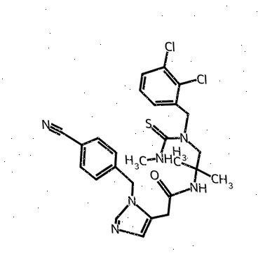 CNC(=S)N(Cc1cccc(Cl)c1Cl)CC(C)(C)NC(=O)Cc1cncn1Cc1ccc(C#N)cc1